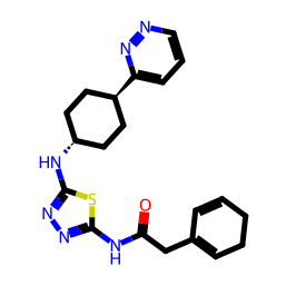 O=C(CC1=CCCC=C1)Nc1nnc(N[C@H]2CC[C@H](c3cccnn3)CC2)s1